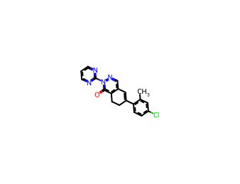 Cc1cc(Cl)ccc1C1=Cc2cnn(-c3ncccn3)c(=O)c2CC1